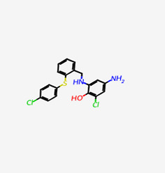 Nc1cc(Cl)c(O)c(NCc2ccccc2Sc2ccc(Cl)cc2)c1